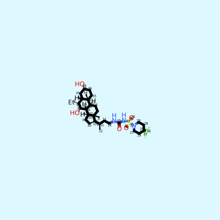 CC[C@H]1[C@@H](O)[C@@H]2[C@H](CC[C@]3(C)[C@@H]([C@H](C)CCNC(=O)NS(=O)(=O)N4CCC(F)(F)CC4)CC[C@@H]23)[C@@]2(C)CC[C@@H](O)C[C@@H]12